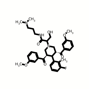 COc1cccc(C(=O)[C@H]2CN(C(CO)C(=O)NCCCN(C)C)C[C@H](C(=O)c3cccc(OC)c3)C2c2cccc(F)c2C)c1